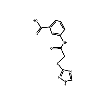 O=C(CSc1nc[nH]n1)Nc1cccc(C(=O)O)c1